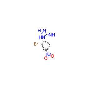 N=C(N)Nc1ccc([N+](=O)[O-])cc1Br